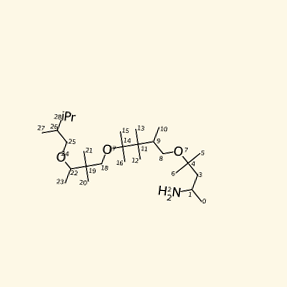 CC(N)CC(C)(C)OCC(C)C(C)(C)C(C)(C)OCC(C)(C)C(C)OCC(C)C(C)C